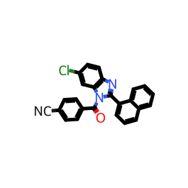 N#Cc1ccc(C(=O)n2c(-c3cccc4ccccc34)nc3ccc(Cl)cc32)cc1